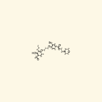 CCCc1c(OCCCOc2ccc(C(=O)OCCN3CCOCC3)cc2Br)ccc(C(C)=O)c1O